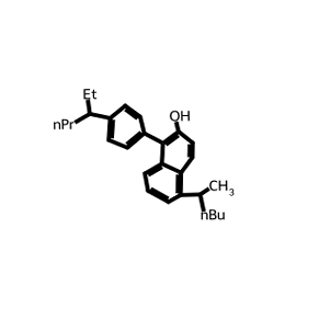 CCCCC(C)c1cccc2c(-c3ccc(C(CC)CCC)cc3)c(O)ccc12